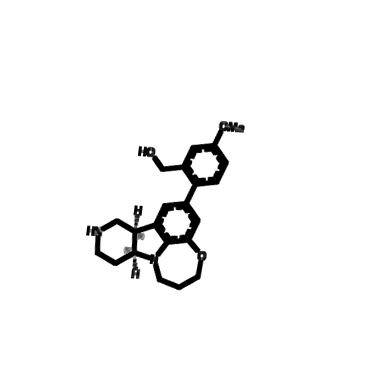 COc1ccc(-c2cc3c4c(c2)[C@@H]2CNCC[C@@H]2N4CCCO3)c(CO)c1